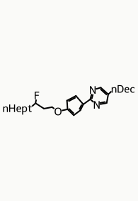 CCCCCCCCCCc1cnc(-c2ccc(OCCC(F)CCCCCCC)cc2)nc1